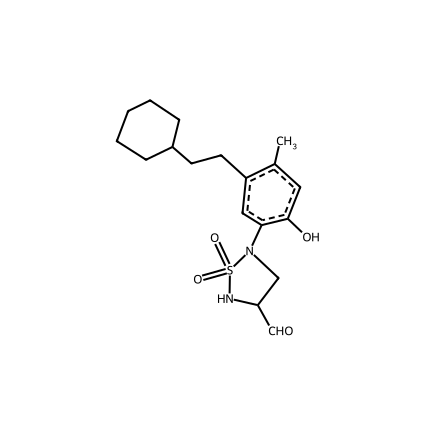 Cc1cc(O)c(N2CC(C=O)NS2(=O)=O)cc1CCC1CCCCC1